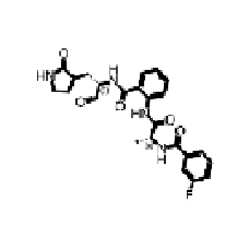 C[C@@H](NC(=O)c1cccc(F)c1)C(=O)Nc1ccccc1C(=O)N[C@H](C=O)CC1CCNC1=O